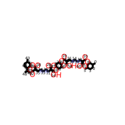 CC1CCC(C)C2(C1)OC(=O)C(/C=C/C=C/C=C1C(=O)OC3(CCC4(CC3)OC(=O)C(/C=C/C=C/C=C3C(=O)OC5(CC(C)CCC5C(C)C)OC3=O)=C(O)O4)OC1=O)=C(O)O2